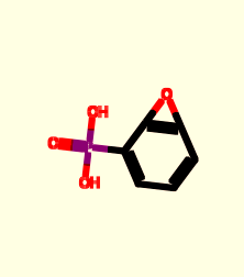 O=P(O)(O)c1cccc2c1O2